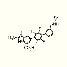 Cc1nc2c(C(=O)O)cc(-c3c(F)c(F)c(-c4cccc(CNC5CC5)c4)c(F)c3F)cc2[nH]1